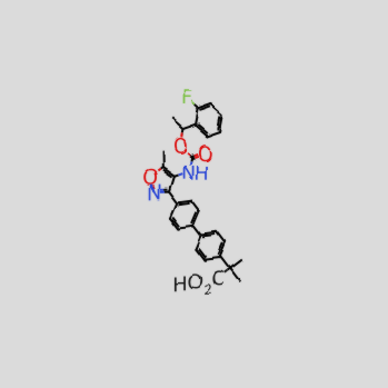 Cc1onc(-c2ccc(-c3ccc(C(C)(C)C(=O)O)cc3)cc2)c1NC(=O)OC(C)c1ccccc1F